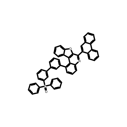 O=P(c1ccccc1)(c1ccccc1)c1cccc(-c2cccc(-c3cccc4nc(-c5cc6ccccc6c6ccccc56)c5oc6ccccc6c5c34)c2)c1